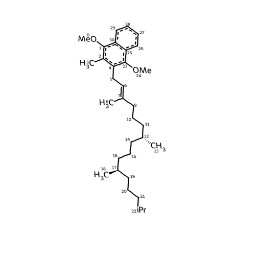 COc1c(C)c(C/C=C(\C)CCC[C@H](C)CCC[C@H](C)CCCC(C)C)c(OC)c2ccccc12